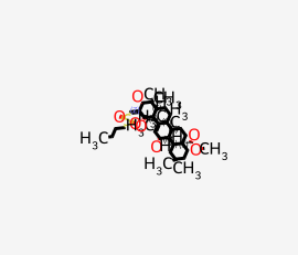 CCCCS(=O)(=O)/C=C1/C(=O)C(C)(C)[C@@H]2CC[C@]3(C)C(=CC(=O)[C@@H]4[C@@H]5CC(C)(C)CC[C@]5(C(=O)OC)CC[C@]43C)[C@@]2(C)C1=O